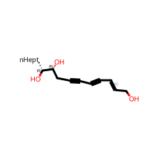 CCCCCCC[C@@H](O)[C@H](O)CC#CC#C/C=C/CO